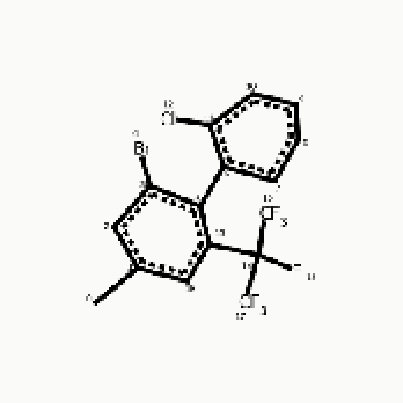 Cc1[c]c(Br)c(-c2ccccc2Cl)c(C(F)(C(F)(F)F)C(F)(F)F)c1